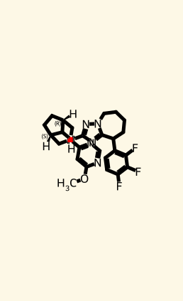 COc1cc(N2C[C@H]3CC[C@@H](C2)C3Nc2nc3n(n2)CCCCC3c2ccc(F)c(F)c2F)ncn1